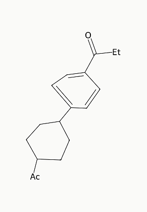 CCC(=O)c1ccc(C2CCC(C(C)=O)CC2)cc1